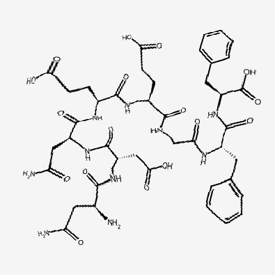 NC(=O)C[C@H](NC(=O)[C@H](CC(=O)O)NC(=O)[C@@H](N)CC(N)=O)C(=O)N[C@@H](CCC(=O)O)C(=O)N[C@@H](CCC(=O)O)C(=O)NCC(=O)N[C@@H](Cc1ccccc1)C(=O)N[C@@H](Cc1ccccc1)C(=O)O